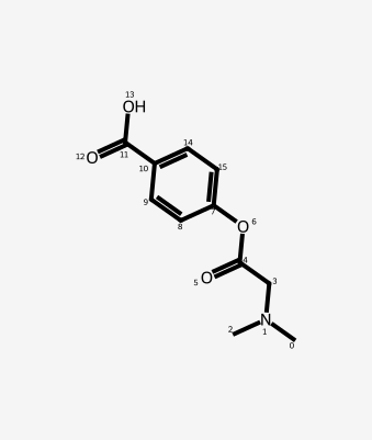 CN(C)CC(=O)Oc1ccc(C(=O)O)cc1